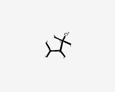 CC(C)C(C)C(C)(C)[O]